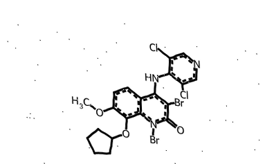 COc1ccc2c(Nc3c(Cl)cncc3Cl)c(Br)c(=O)n(Br)c2c1OC1CCCC1